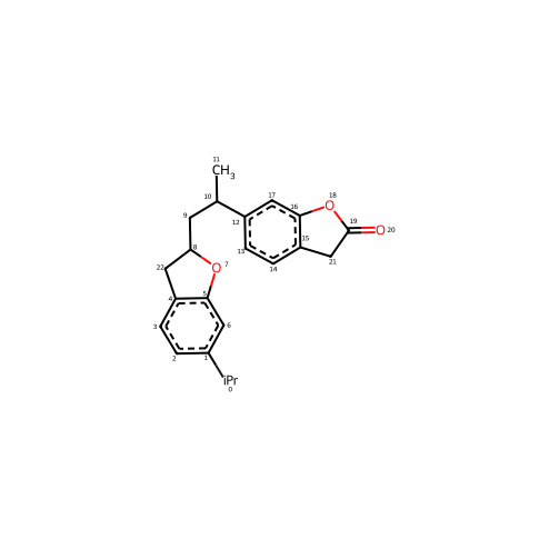 CC(C)c1ccc2c(c1)OC(CC(C)c1ccc3c(c1)OC(=O)C3)C2